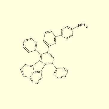 Nc1ccc(-c2cccc(-c3cc(-c4ccccc4)c4c(c3-c3ccccc3)-c3cccc5cccc-4c35)c2)cc1